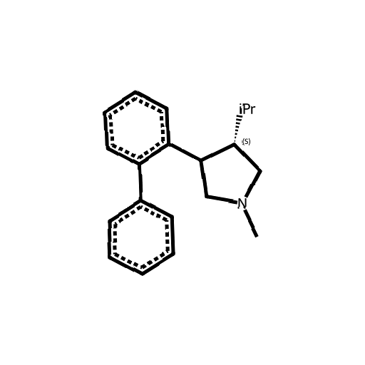 CC(C)[C@@H]1CN(C)CC1c1ccccc1-c1ccccc1